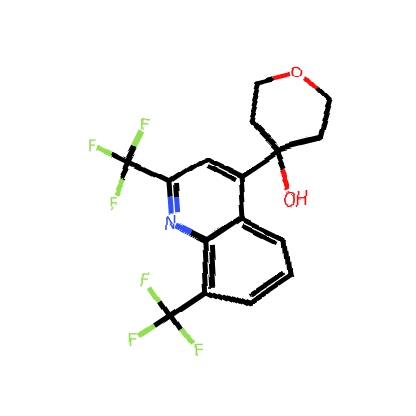 OC1(c2cc(C(F)(F)F)nc3c(C(F)(F)F)cccc23)CCOCC1